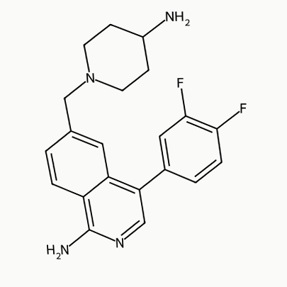 Nc1ncc(-c2ccc(F)c(F)c2)c2cc(CN3CCC(N)CC3)ccc12